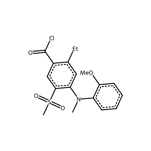 CCc1cc(N(C)c2ccccc2OC)c(S(C)(=O)=O)cc1C(=O)Cl